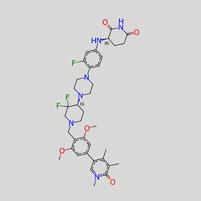 COc1cc(-c2cn(C)c(=O)c(C)c2C)cc(OC)c1CN1CC[C@H](N2CCN(c3ccc(N[C@@H]4CCC(=O)NC4=O)cc3F)CC2)C(F)(F)C1